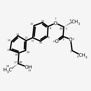 CCOC(=O)[C@@H](C)Oc1ccc(-c2cccc([C@@H](C)O)c2)cc1